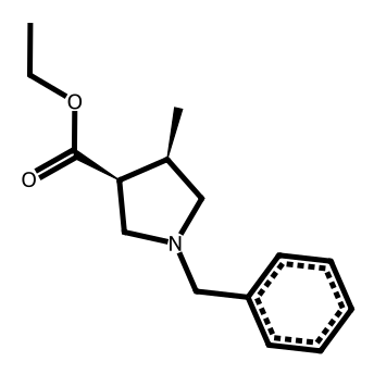 CCOC(=O)[C@@H]1CN(Cc2ccccc2)C[C@@H]1C